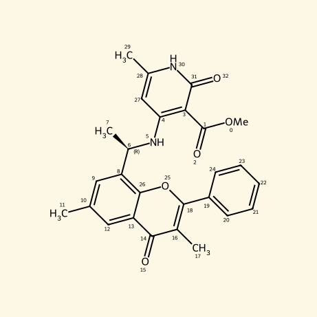 COC(=O)c1c(N[C@H](C)c2cc(C)cc3c(=O)c(C)c(-c4ccccc4)oc23)cc(C)[nH]c1=O